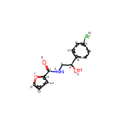 O=C(NCC(O)c1ccc(Br)cc1)c1ccco1